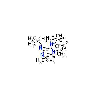 CC(C)(C)C=N[C](=NC(C)(C)C)[Co][C](N=CC(C)(C)C)=NC(C)(C)C